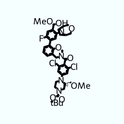 COC[C@@H]1CN(C(=O)OC(C)(C)C)CCN1c1cc(Cl)c(C(=O)N2COc3c(cccc3-c3cc(N4C5CCC4COC5)c(C(O)OC)cc3F)C2)c(Cl)c1